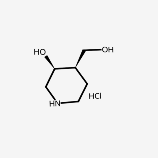 Cl.OC[C@H]1CCNC[C@H]1O